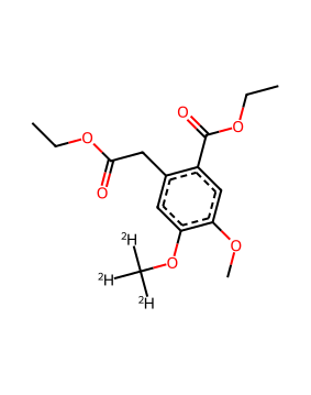 [2H]C([2H])([2H])Oc1cc(CC(=O)OCC)c(C(=O)OCC)cc1OC